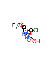 Cn1c(=O)n(CCCO)c(=O)c2c1nc(Cc1cccc(OC(F)(F)F)c1)n2Cc1ccc(Cl)cc1